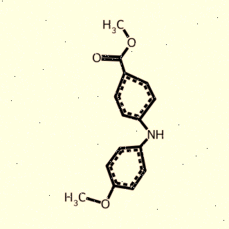 COC(=O)c1ccc(Nc2ccc(OC)cc2)cc1